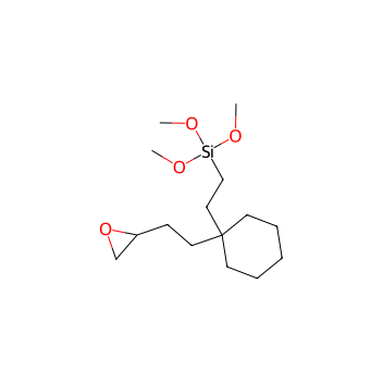 CO[Si](CCC1(CCC2CO2)CCCCC1)(OC)OC